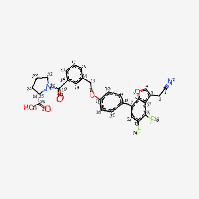 N#CCc1coc2c(-c3ccc(OCc4cccc(C(=O)N5CCC[C@H]5C(=O)O)c4)cc3)cc(F)c(F)c12